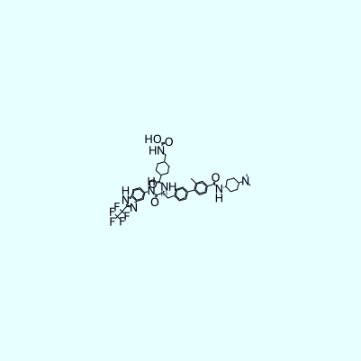 Cc1cc(C(=O)N[C@H]2CC[C@H](N(C)C)CC2)ccc1-c1ccc(C[C@H](NC(=O)C2CCC(CNC(=O)O)CC2)C(=O)Nc2ccc3[nH]c(C(F)(F)C(F)(F)F)nc3c2)cc1